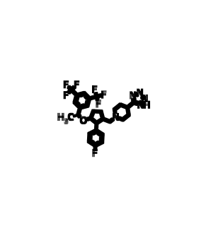 C[C@H](OC1CCC(CN2CCC(c3nnn[nH]3)CC2)C1c1ccc(F)cc1)c1cc(C(F)(F)F)cc(C(F)(F)F)c1